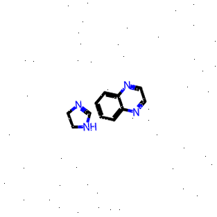 C1=NCCN1.c1ccc2nccnc2c1